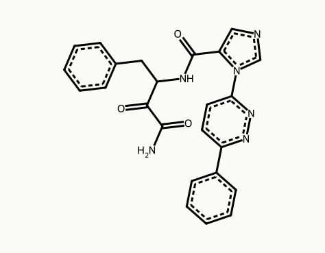 NC(=O)C(=O)C(Cc1ccccc1)NC(=O)c1cncn1-c1ccc(-c2ccccc2)nn1